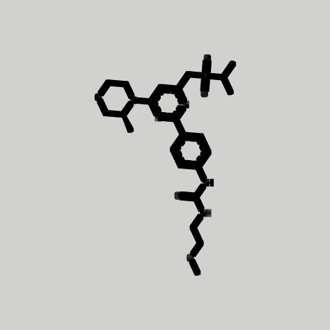 COCCNC(=O)Nc1ccc(-c2nc(CS(=O)(=O)C(C)C)cc(N3CCOC[C@@H]3C)n2)cc1